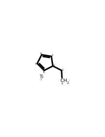 [CH2]CC1C=CC=C1.[Ti]